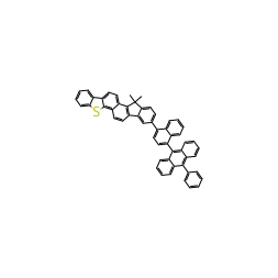 CC1(C)c2ccc(-c3ccc(-c4c5ccccc5c(-c5ccccc5)c5ccccc45)c4ccccc34)cc2-c2ccc3c(ccc4c5ccccc5sc34)c21